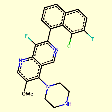 COc1cnc2c(F)c(-c3cccc4ccc(F)c(Cl)c34)ncc2c1N1CCNCC1